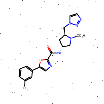 O=C(N[C@@H]1C[C@@H](Cn2ccnn2)N(C(=O)O)C1)c1ncc(-c2cccc(C(F)(F)F)c2)o1